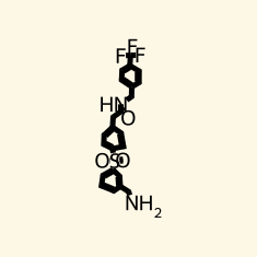 NCc1cccc(S(=O)(=O)c2ccc(CC(=O)NCc3ccc(C(F)(F)F)cc3)cc2)c1